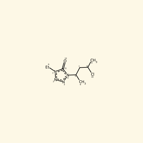 CCn1nnn(C(C)CC(C)Cl)c1=O